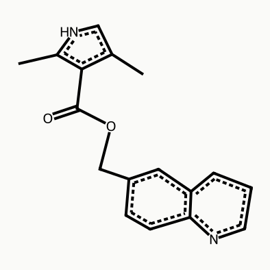 Cc1c[nH]c(C)c1C(=O)OCc1ccc2ncccc2c1